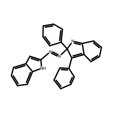 c1ccc(C2=c3ccccc3=NC2(N=Nc2cc3ccccc3[nH]2)c2ccccc2)cc1